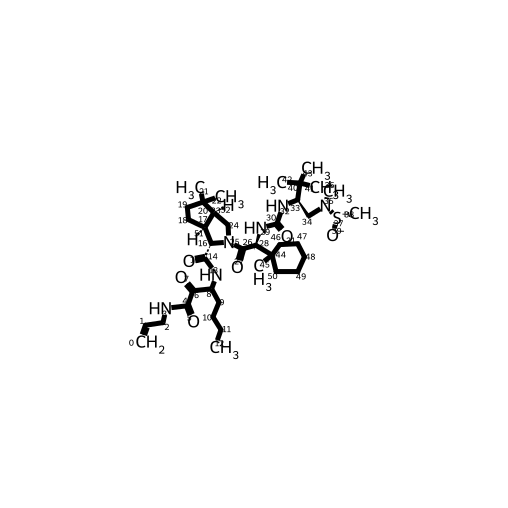 C=CCNC(=O)C(=O)C(CCCC)NC(=O)[C@@H]1[C@H]2CCC(C)(C)[C@H]2CN1C(=O)[C@@H](NC(=O)N[C@H](CN(C)[S+](C)[O-])C(C)(C)C)C1(C)CCCCC1